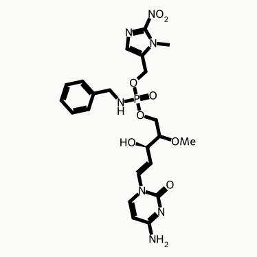 COC(COP(=O)(NCc1ccccc1)OCc1cnc([N+](=O)[O-])n1C)[C@H](O)/C=C/n1ccc(N)nc1=O